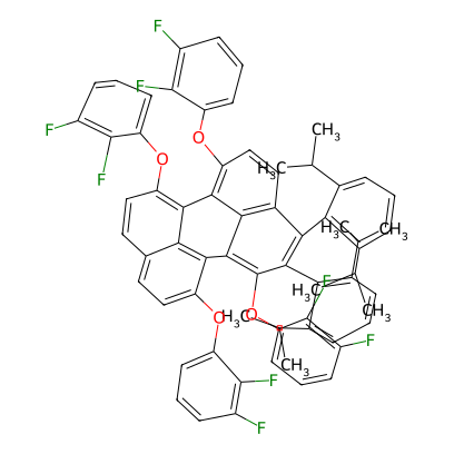 CC(C)c1cccc(C(C)C)c1-c1c(-c2c(C(C)C)cccc2C(C)C)c2ccc(Oc3cccc(F)c3F)c3c4c(Oc5cccc(F)c5F)ccc5ccc(Oc6cccc(F)c6F)c(c(c1Oc1cccc(F)c1F)c23)c54